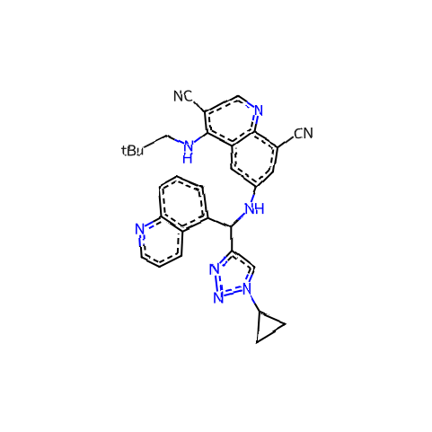 CC(C)(C)CNc1c(C#N)cnc2c(C#N)cc(NC(c3cn(C4CC4)nn3)c3cccc4ncccc34)cc12